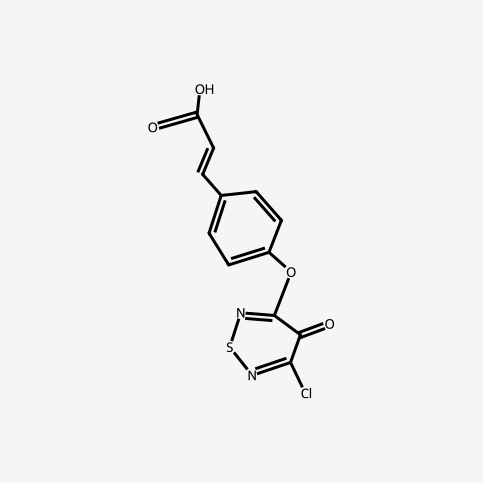 O=C(O)C=Cc1ccc(Oc2nsnc(Cl)c2=O)cc1